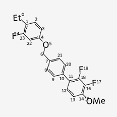 CCc1ccc(OCc2ccc(-c3ccc(OC)c(F)c3F)cc2)cc1F